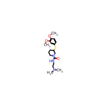 COc1ccc(SC2CCCN(C(=O)NCCN(C)C)C2)cc1OC